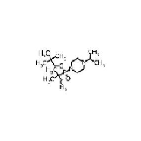 CC(C)N1CCN(P(=O)(OCC(C)(C)C)C(C)(C)C)CC1